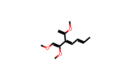 C=C(OC)C(=C\C=C\C)/C(=C/OC)OC